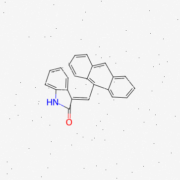 O=C1Nc2ccccc2C1=Cc1c2ccccc2cc2ccccc12